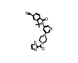 Cn1ccnc1C(=O)N1CCN(c2cncc(N3C(=O)c4ccc(C#N)cc4C3(C)C)c2)CC1